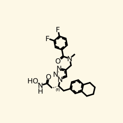 CN(Cc1cn([C@@H](CC(=O)NO)Cc2ccc3c(c2)CCCC3)nn1)C(=O)c1ccc(F)c(F)c1